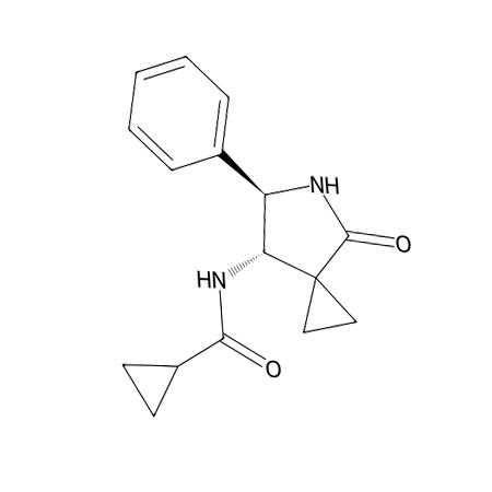 O=C(N[C@@H]1[C@@H](c2ccccc2)NC(=O)C12CC2)C1CC1